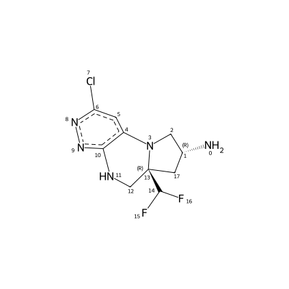 N[C@H]1CN2c3cc(Cl)nnc3NC[C@@]2(C(F)F)C1